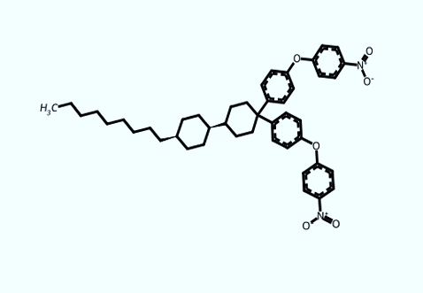 CCCCCCCCC[C@H]1CC[C@@H](C2CCC(c3ccc(Oc4ccc([N+](=O)[O-])cc4)cc3)(c3ccc(Oc4ccc([N+](=O)[O-])cc4)cc3)CC2)CC1